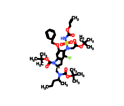 C=CCOC(=O)NS(=O)(=O)N(CC(=O)OC(C)(C)C)c1c(OCc2ccccc2)cc2c(c1F)C[C@H](CN(C(=O)OC(C)(C)C)C(C)CCC)N2C(=O)OC(C)(C)C